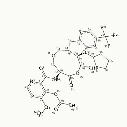 COc1ccnc(C(=O)N[C@H]2COC[C@H](Cc3ccc(C(F)(F)F)cc3)[C@@H](OC3CCCC3)[C@H](C)OC2=O)c1OC(C)=O